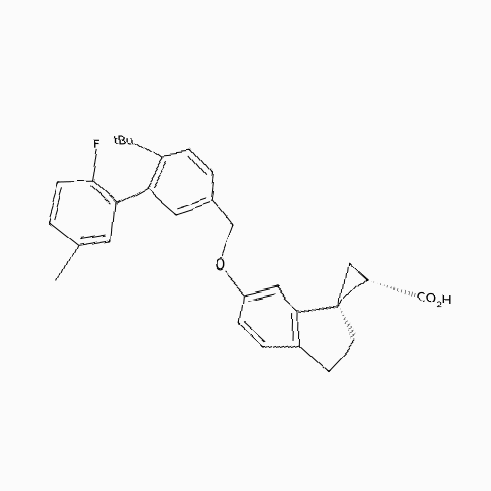 Cc1ccc(F)c(-c2cc(COc3ccc4c(c3)[C@@]3(CC4)C[C@@H]3C(=O)O)ccc2C(C)(C)C)c1